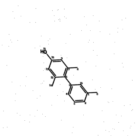 Cc1cccc(-c2c(C)cc(O)cc2C)c1